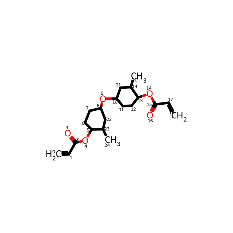 C=CC(=O)OC1CCC(OC2CCC(OC(=O)C=C)C(C)C2)CC1C